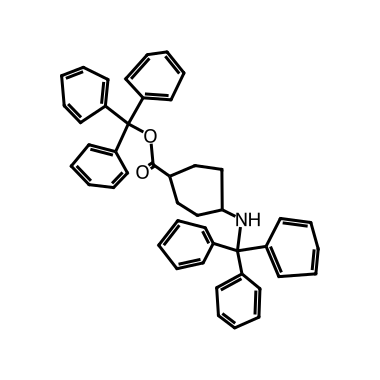 O=C(OC(c1ccccc1)(c1ccccc1)c1ccccc1)C1CCC(NC(c2ccccc2)(c2ccccc2)c2ccccc2)CC1